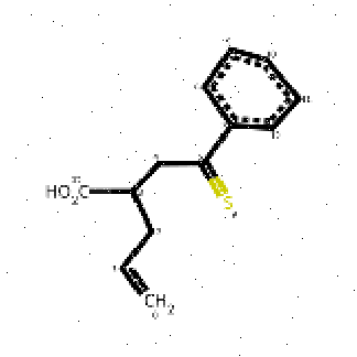 C=CCC(CC(=S)c1ccccc1)C(=O)O